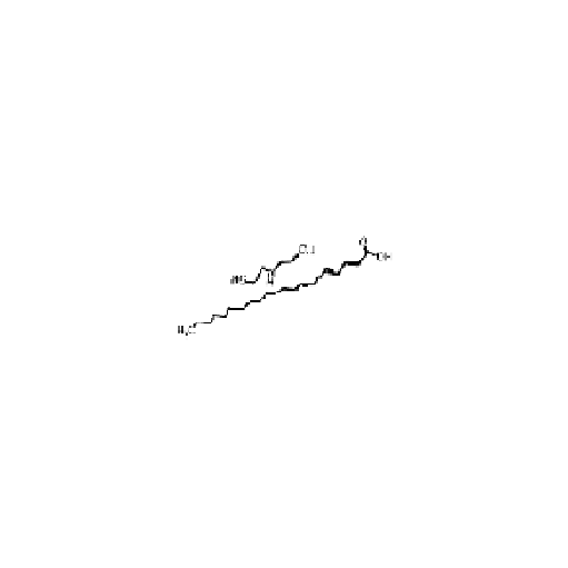 CCCCCCCCCCCCCC=CC=CC=CC(=O)O.OCCNCCO